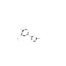 CCCCOc1cnc(-c2nc(C(=O)O)co2)cc1OCCCC